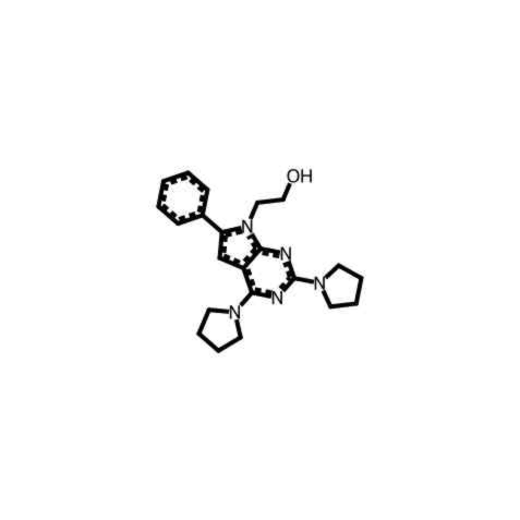 OCCn1c(-c2ccccc2)cc2c(N3CCCC3)nc(N3CCCC3)nc21